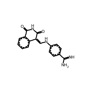 N=C(N)c1ccc(N/C=C2\C(=O)NC(=O)c3ccccc32)cc1